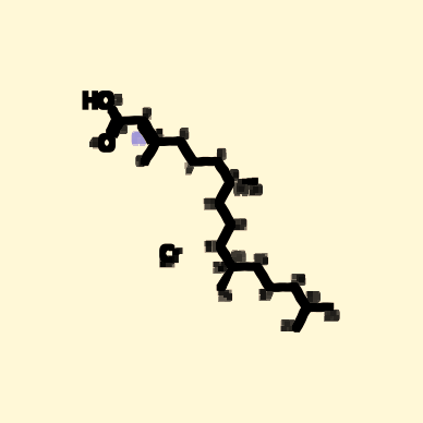 C/C(=C\C(=O)O)CCC[C@H](C)CCC[C@H](C)CCCC(C)C.[Cr]